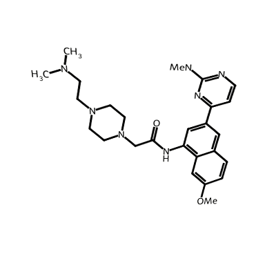 CNc1nccc(-c2cc(NC(=O)CN3CCN(CCN(C)C)CC3)c3cc(OC)ccc3c2)n1